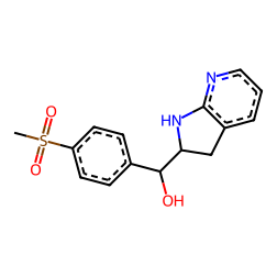 CS(=O)(=O)c1ccc(C(O)C2Cc3cccnc3N2)cc1